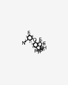 N#Cc1cc(F)cc(Oc2ccc3c4c2C(F)[C@H](F)[C@]4(O)C(F)(F)C3(F)F)c1